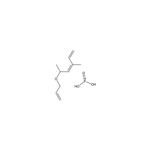 C=CCOC(C)C=C(C)C=C.O=[PH](O)O